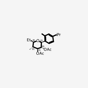 CC[C@H]1O[C@@H](c2ccc(C(C)C)cc2C)[C@H](OC(C)=O)[C@@H](OC(C)=O)[C@@H]1C